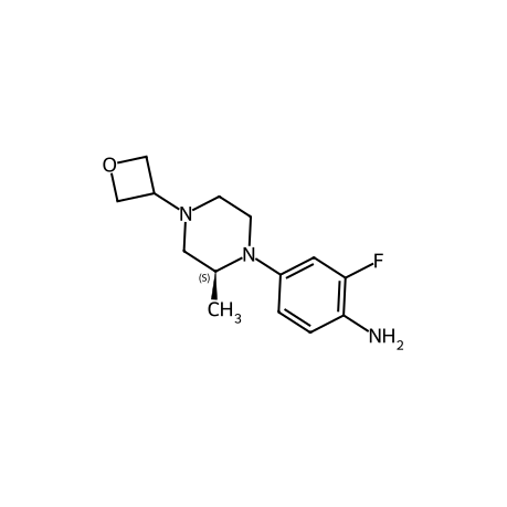 C[C@H]1CN(C2COC2)CCN1c1ccc(N)c(F)c1